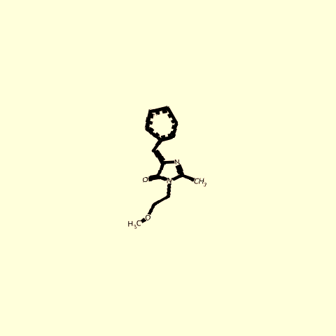 COCCN1C(=O)/C(=C/c2ccccc2)N=C1C